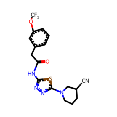 N#CC1CCCN(c2nnc(NC(=O)Cc3cccc(OC(F)(F)F)c3)s2)C1